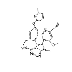 C#Cc1cc(OC)c(-c2c3c4c(ncnc4n2C)NCCc2cc(Oc4cccc(C)n4)ccc2-3)cn1